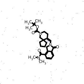 CN(C)C(=O)c1cccc2c1CN(/C=C1/CCN(C(=O)OC(C)(C)C)CC13CCCC3)C2=O